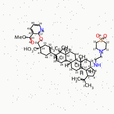 C=C(C)C1CC[C@]2(NCCN3CCS(=O)(=O)CC3)CC[C@]3(C)[C@H](CC[C@@H]4[C@@]5(C)CC=C(C6=CC[C@](COc7ncccc7C(=O)OC)(C(=O)O)CC6)C(C)(C)[C@@H]5CC[C@]43C)[C@@H]12